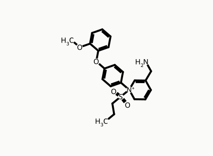 CCCS(=O)(=O)[N+]1(c2ccc(Oc3ccccc3OC)cc2)C=C(CN)C=CC1